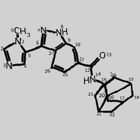 Cn1cncc1-c1n[nH]c2cc(C(=O)NC34CC5CC(CC(C5)C3)C4)ccc12